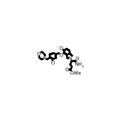 COC(=O)CCC(C(N)=O)N1C=C2C=CC(=O)C(OCc3ccc(CN4CCOCC4)c(Cl)c3)=C2C1